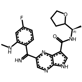 CNc1cc(F)ccc1C(=N)c1cnc2[nH]cc(C(=O)N[C@H](C)C3CCCO3)c2n1